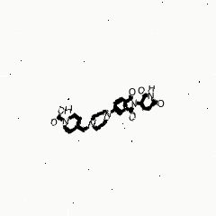 O=C1CCC(N2C(=O)c3ccc(N4CCN(CC5CCN(C(=O)O)CC5)CC4)cc3C2=O)C(=O)N1